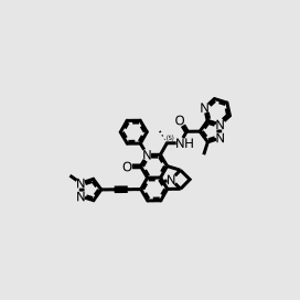 Cc1nn2cccnc2c1C(=O)N[C@@H](C)c1c2c3c(ccc(C#Cc4cnn(C)c4)c3c(=O)n1-c1ccccc1)C1CC2N1C